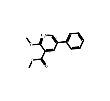 C=C(OC)/C(=C\C(=C/N)c1ccccc1)C(=O)OC